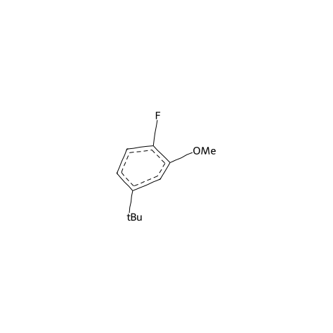 COc1cc(C(C)(C)C)ccc1F